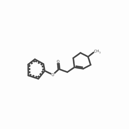 CC1CC=C(CC(=O)Oc2ccccc2)CC1